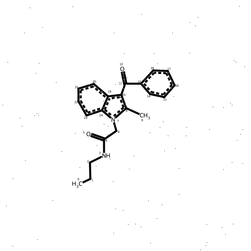 CCCNC(=O)Cn1c(C)c(C(=O)c2ccccc2)c2ccccc21